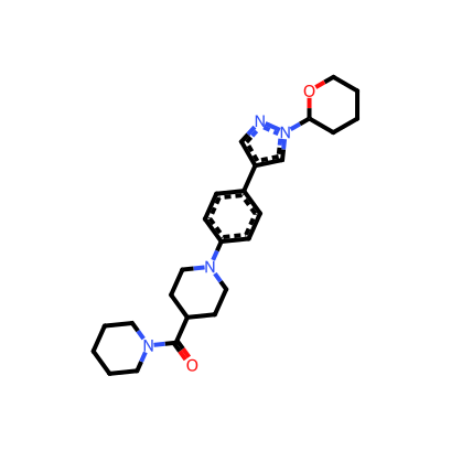 O=C(C1CCN(c2ccc(-c3cnn(C4CCCCO4)c3)cc2)CC1)N1CCCCC1